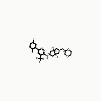 Cc1ccc(F)cc1-c1cc(C(F)(F)F)c(N[C@@H]2C[C@@H]3CN(C[C@@H]4COCCO4)C[C@@H]3C2)nn1